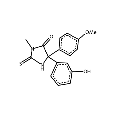 COc1ccc(C2(c3cccc(O)c3)NC(=S)N(C)C2=O)cc1